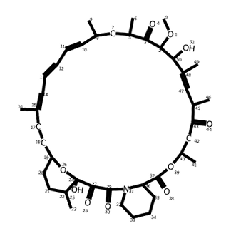 COC1C(=O)C(C)CC(C)/C=C/C=C/C=C(\C)CCC2CCC(C)C(O)(O2)C(=O)C(=O)N2CCCCC2C(=O)OC(C)CC(=O)C(C)/C=C(\C)C1O